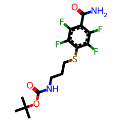 CC(C)(C)OC(=O)NCCCSc1c(F)c(F)c(C(N)=O)c(F)c1F